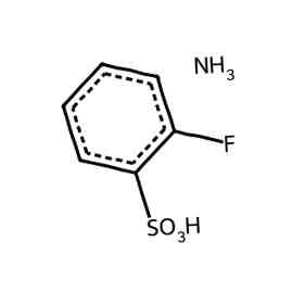 N.O=S(=O)(O)c1ccccc1F